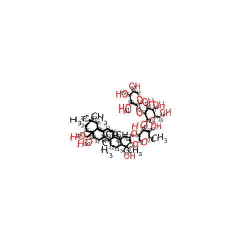 C[C@H]1O[C@@H](OC2CCC3(C)C(CCC4(C)C3C=CC3=C5CC(C)(C)CCC5(CO)C(O)CC34C)C2(C)CO)[C@H](O)[C@@H](O[C@@H]2O[C@H](CO)[C@@H](O)[C@H](O)[C@H]2O[C@H]2OC[C@@H](O)[C@H](O)[C@H]2O)[C@H]1O